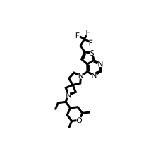 CCC(C1CC(C)OC(C)C1)N1CC2(CCN(c3ncnc4sc(CC(F)(F)F)cc34)C2)C1